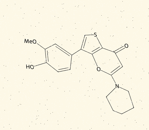 COc1cc(-c2csc3c(=O)cc(N4CCCCC4)oc23)ccc1O